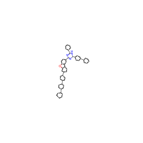 c1ccc(C2=NC(c3ccc4oc5cc(-c6ccc(-c7ccc(-c8ccccc8)cc7)cc6)ccc5c4c3)=NC(c3ccc(-c4ccccc4)cc3)N2)cc1